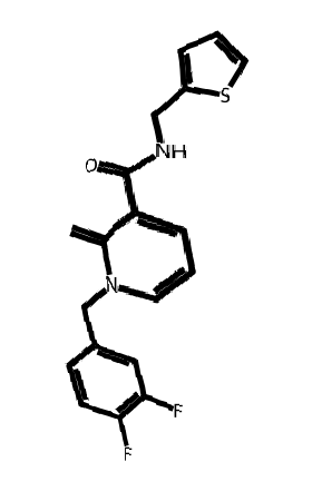 C=C1C(C(=O)NCc2cccs2)=CC=CN1Cc1ccc(F)c(F)c1